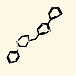 c1ccc(-c2ccc(CN3CCO[C@@H](c4ccccc4)C3)cn2)cc1